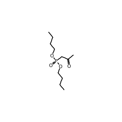 CCCCOP(=O)(CC(C)=O)OCCCC